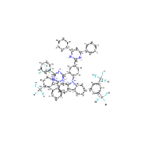 FC(F)(F)c1cc(-c2ccc3c4ccc(-c5cc(C(F)(F)F)cc(C(F)(F)F)c5)cc4n(-c4ccc(-c5nc(-c6ccccc6)cc(-c6ccccc6)n5)cc4-c4nc(-c5ccccc5)nc(-c5ccccc5)n4)c3c2)cc(C(F)(F)F)c1